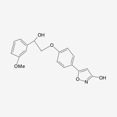 COc1cccc(C(O)COc2ccc(-c3cc(O)no3)cc2)c1